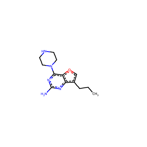 CCCc1coc2c(N3CCNCC3)nc(N)nc12